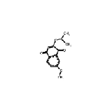 COc1ccc2c(c1)C(=O)C(OC(C)C)=CC2=O